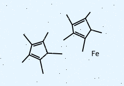 CC1=C(C)C(C)C(C)=C1C.CC1=C(C)C(C)C(C)=C1C.[Fe]